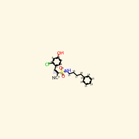 N#C/C(=C/c1ccc(O)cc1Cl)S(=O)(=O)NCCCCc1ccccc1